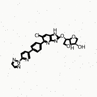 O[C@@H]1COC2[C@H](Oc3nc4nc(-c5ccc(-c6ccc(-n7nccn7)nc6)cc5)c(Cl)cc4[nH]3)CO[C@@H]21